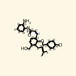 CC(C)=CCc1c(CO)ccc(/C=C\C(=O)Nc2ccccc2N)c1OCc1ccc(Cl)cc1